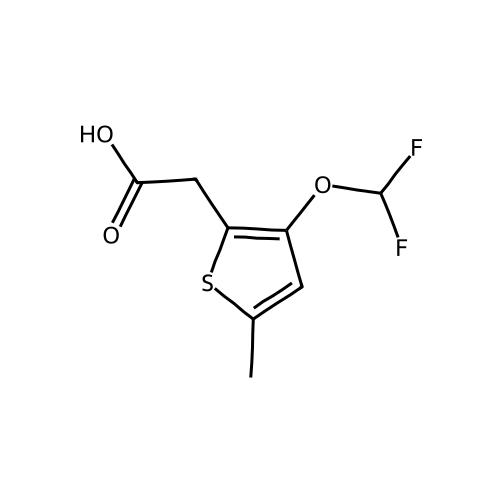 Cc1cc(OC(F)F)c(CC(=O)O)s1